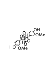 COc1cc([C@H]2OC(=O)[C@H]3[C@@H]2C(=O)O[C@@H]3c2ccc(O)c(OC)c2)ccc1O